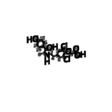 C[C@H](NCCc1cc(Cl)c(OCC(=O)O)c(Cl)c1)[C@H](O)c1ccc(O)cc1